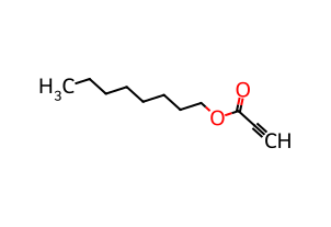 C#CC(=O)OCCCCCCCC